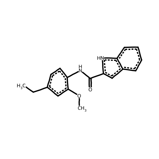 CCc1ccc(NC(=O)c2cc3ccccc3[nH]2)c(OC)c1